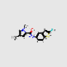 Cc1cc(C(=O)Nc2ccc3sc(F)cc3c2)n(C)c1